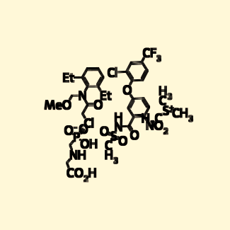 CCc1cccc(CC)c1N(COC)C(=O)CCl.CS(=O)(=O)NC(=O)c1cc(Oc2ccc(C(F)(F)F)cc2Cl)ccc1[N+](=O)[O-].C[S+](C)C.O=C(O)CNCP(=O)([O-])O